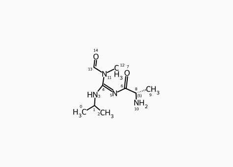 CC(C)NC(=NC(=O)[C@H](C)N)N(C)C=O